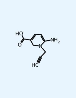 C#CCN1CC(C(=O)O)=CC=C1N